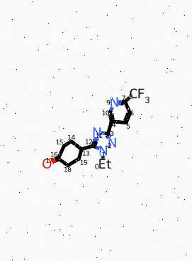 CCn1nc(-c2ccc(C(F)(F)F)nc2)nc1C1CCC(=O)CC1